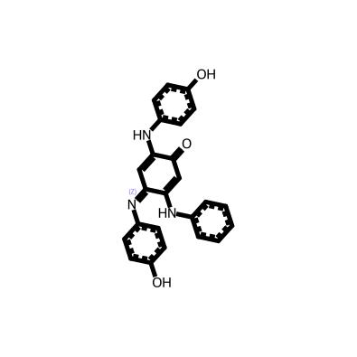 O=C1C=C(Nc2ccccc2)/C(=N\c2ccc(O)cc2)C=C1Nc1ccc(O)cc1